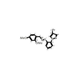 COc1ccc(CNSc2ccccc2-n2cc(C(C)C)cn2)c(OC)c1